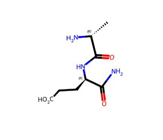 C[C@@H](N)C(=O)N[C@H](CCC(=O)O)C(N)=O